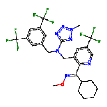 CON=C(c1ncc(C(F)(F)F)cc1CN(Cc1cc(C(F)(F)F)cc(C(F)(F)F)c1)c1nnn(C)n1)C1CCCCC1